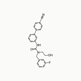 N#Cc1ccc(-c2cccc(NC(=O)N(CCO)Cc3cccc(F)c3)c2)cc1